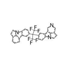 FC(F)(F)C(c1ccc2c(c1)c1cccc3ccn2c31)(c1ccc2c(c1)c1cncc3ccn2c31)C(F)(F)F